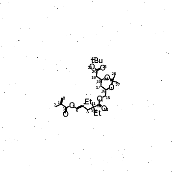 C=C(C)C(=O)O/C=C/CC(CC)(CC)C(=O)OCC1CC(CC(=O)OC(C)(C)C)OC(C)(C)O1